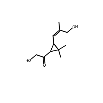 CC(=CC1C(C(=O)CO)C1(C)C)CO